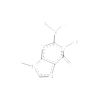 Cn1c(N(Cl)Cl)nc2c(ncn2Cl)c1=O